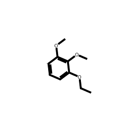 CCOc1cc[c]c(OC)c1OC